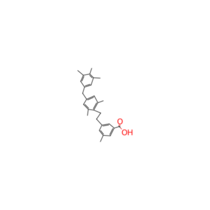 Cc1cc(CCc2c(C)cc(Cc3cc(C)c(C)c(C)c3)cc2C)cc(C(=O)O)c1